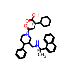 C[C@@H](NCC1CN(C(=O)C[C@@H](C(=O)O)C2CCCCC2)CCC1c1ccccc1)c1cccc2ccccc12